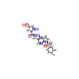 Cc1ccc(S(=O)(=O)n2ccc3nc(CNC(=O)C4CC(O)CN4)cnc32)cc1